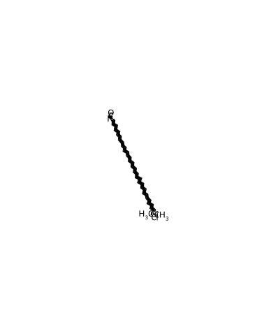 C[Si](C)(Cl)CCCCCCCCCCCCCCCCCCCCCCCCCCCCCCCCCCCN=C=O